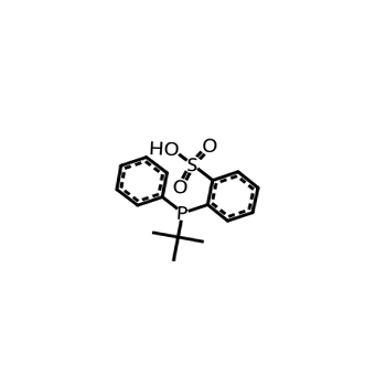 CC(C)(C)P(c1ccccc1)c1ccccc1S(=O)(=O)O